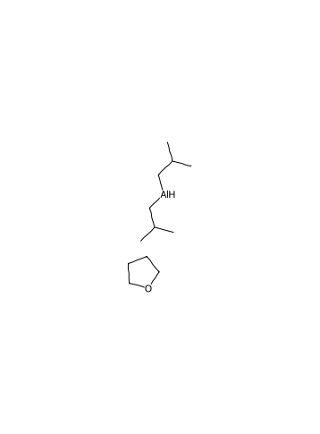 C1CCOC1.CC(C)[CH2][AlH][CH2]C(C)C